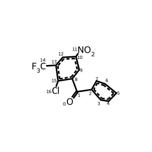 O=C(c1ccccc1)c1cc([N+](=O)[O-])cc(C(F)(F)F)c1Cl